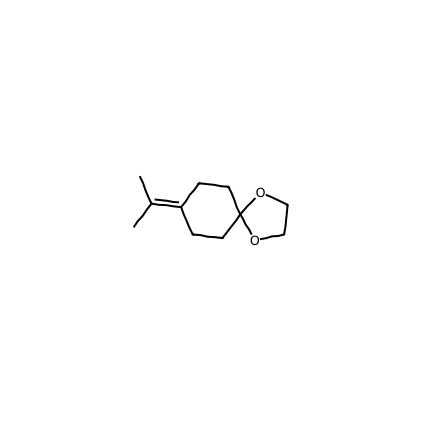 CC(C)=C1CCC2(CC1)OCCO2